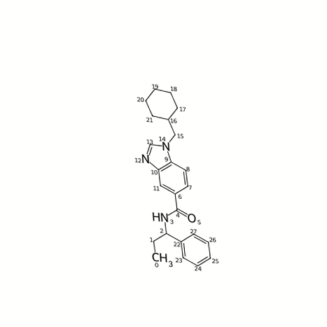 CCC(NC(=O)c1ccc2c(c1)ncn2CC1CCCCC1)c1ccccc1